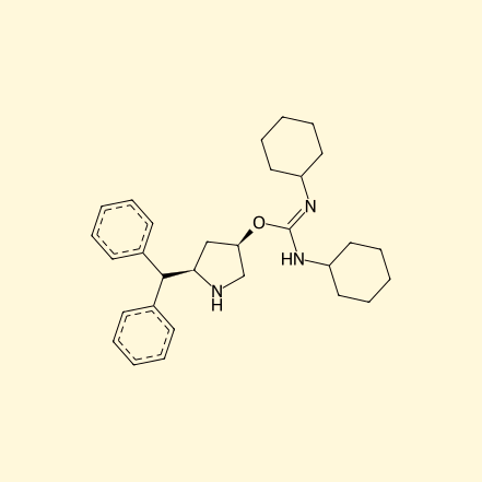 c1ccc(C(c2ccccc2)[C@H]2C[C@@H](O/C(=N\C3CCCCC3)NC3CCCCC3)CN2)cc1